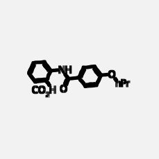 CCCOc1ccc(C(=O)Nc2ccccc2C(=O)O)cc1